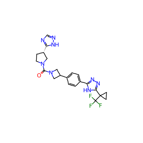 O=C(N1CC(c2ccc(-c3nnc(C4(C(F)(F)F)CC4)[nH]3)cc2)C1)N1CC[C@H](c2ncn[nH]2)C1